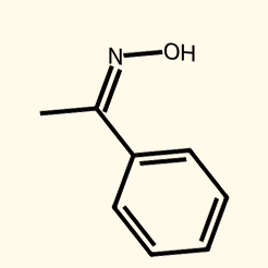 C/C(=N/O)c1ccccc1